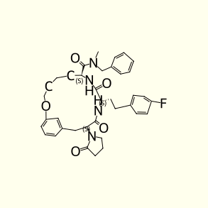 CN(Cc1ccccc1)C(=O)[C@@H]1CCCCOc2cccc(c2)C[C@H](N2CCCC2=O)C(=O)N[C@@H](CCc2ccc(F)cc2)C(=O)N1